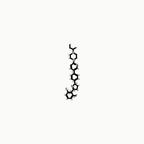 CCC(C)N1CCN(c2ccc(-c3ccc(C4CCC(c5c(F)cccc5F)=N4)cc3)cn2)CC1